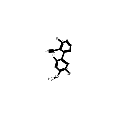 COc1cc(F)c(-c2cccc(F)c2C#N)cc1F